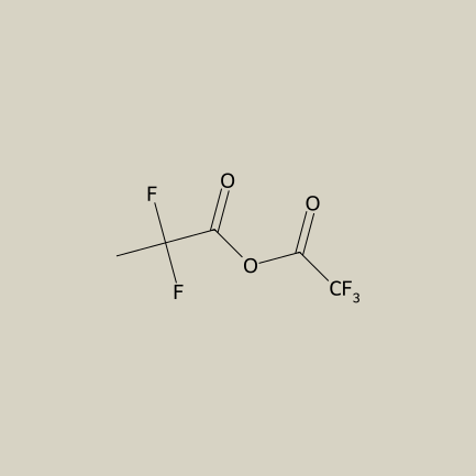 CC(F)(F)C(=O)OC(=O)C(F)(F)F